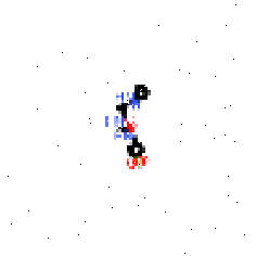 C[C@H](NC(=O)[C@H]1C[C@@H]1c1nc2ccccc2[nH]1)C(=O)NCc1ccc(S(C)(=O)=O)cc1